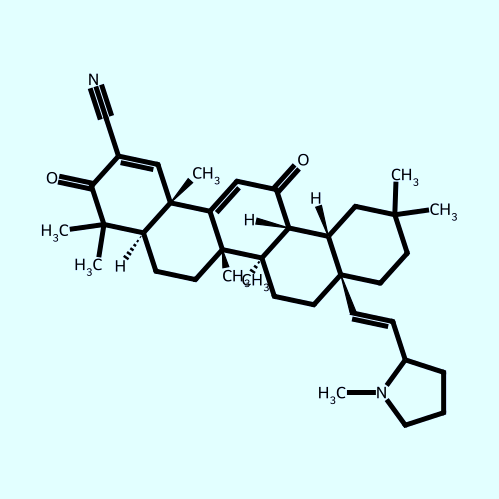 CN1CCCC1/C=C/[C@]12CCC(C)(C)C[C@H]1[C@H]1C(=O)C=C3[C@@]4(C)C=C(C#N)C(=O)C(C)(C)[C@@H]4CC[C@@]3(C)[C@]1(C)CC2